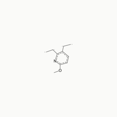 [CH2][CH]c1ccc(OC)nc1[CH][CH2]